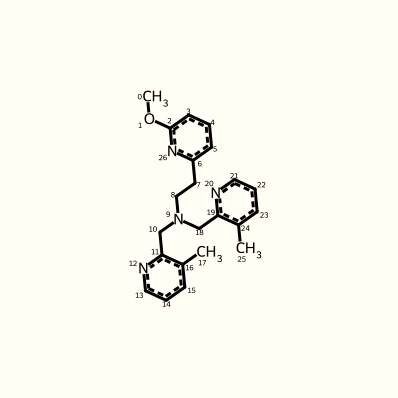 COc1cccc(CCN(Cc2ncccc2C)Cc2ncccc2C)n1